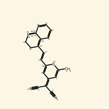 CC1=CC(=C(C#N)C#N)C=C(C=CC2=C3C=CC=CC34CCCCN4CC2)O1